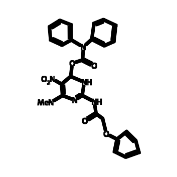 CNC1=C([N+](=O)[O-])C(OC(=O)N(c2ccccc2)c2ccccc2)NC(NC(=O)COc2ccccc2)=N1